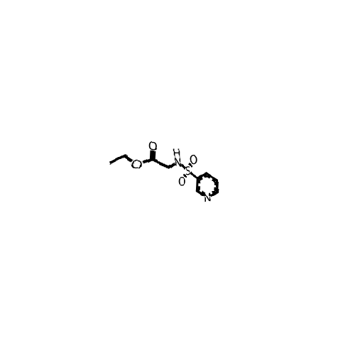 CCOC(=O)CNS(=O)(=O)c1cccnc1